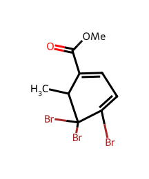 COC(=O)C1=CC=C(Br)C(Br)(Br)C1C